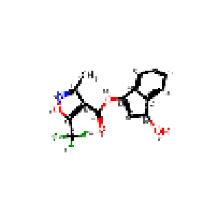 Cc1noc(C(F)(F)F)c1C(=O)OC1=CC(O)c2ccccc21